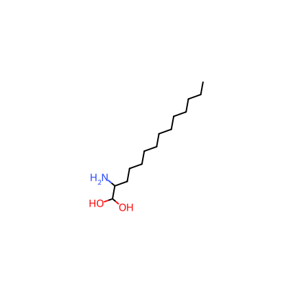 CCCCCCCCCCCCC(N)C(O)O